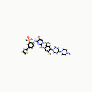 CCc1cc(Nc2ncc(Br)c(Nc3ccc(-c4nccs4)cc3P(C)(C)=O)n2)c(OC)cc1N1CCC(N2CCN(C)CC2)CC1